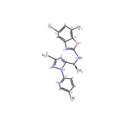 Cc1nc([C@H](C)Nc2nc3cc(Cl)cc(C(F)(F)F)c3o2)n(-c2ccc(C#N)cn2)n1